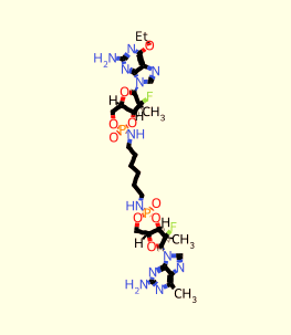 CCOc1nc(N)nc2c1ncn2[C@@H]1O[C@@H]2COP(=O)(NCCCCCCNP3(=O)OC[C@H]4O[C@@H](n5cnc6c(C)nc(N)nc65)[C@](C)(F)[C@@H]4O3)O[C@H]2[C@@]1(C)F